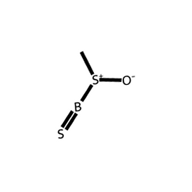 C[S+]([O-])B=S